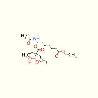 CCOC(=O)CCCCCC(NC(C)=O)OC(=O)C(CC)(CC)C(=O)O